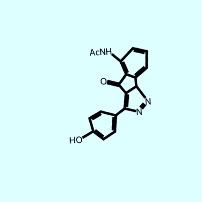 CC(=O)Nc1cccc2c1C(=O)C1=C(c3ccc(O)cc3)N=NC12